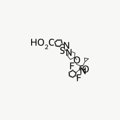 O=C(O)c1ccc2nc(N3CCC(OCc4c(-c5c(F)cccc5F)noc4C4CC4)CC3)sc2c1